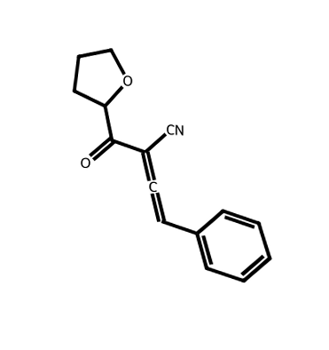 N#CC(=C=Cc1ccccc1)C(=O)C1CCCO1